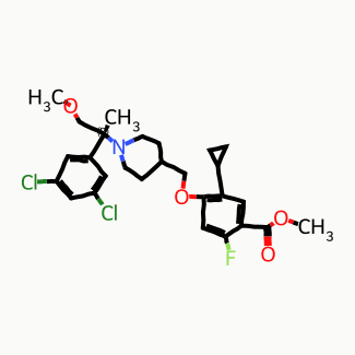 COC[C@@](C)(c1cc(Cl)cc(Cl)c1)N1CCC(COc2cc(F)c(C(=O)OC)cc2C2CC2)CC1